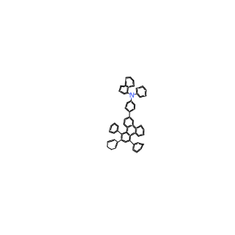 C1=CC(c2cc(-c3ccccc3)c3c4ccccc4c4cc(-c5ccc(N(c6ccccc6)c6cccc7ccccc67)cc5)ccc4c3c2-c2ccccc2)=CCC1